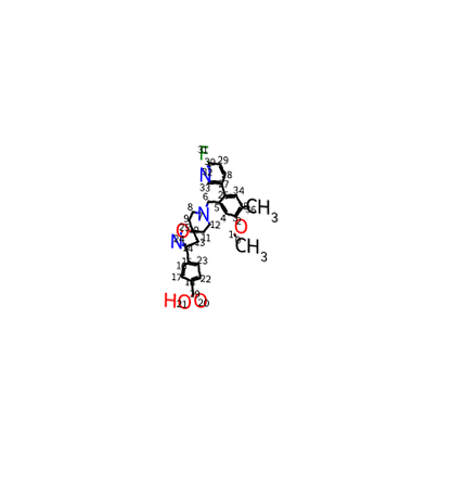 CCOc1cc(CN2CCC3(CC2)CC(c2ccc(C(=O)O)cc2)=NO3)c(-c2ccc(F)nc2)cc1C